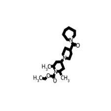 CCOC(=O)N1C(C)CC(N2CCC(C(=O)N3CCCCCC3)CC2)CC1C